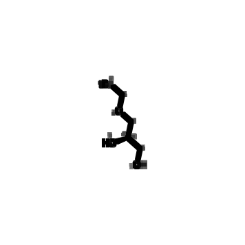 CC(C)(C)COC[C@H](O)CO